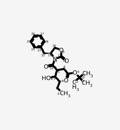 CCCC(O)C(CC(=O)OC(C)(C)C)C(=O)N1C(=O)OC[C@@H]1Cc1ccccc1